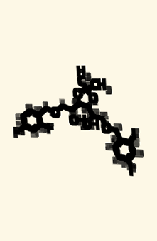 CC1(C)O[C@H]([C@H](O)COCc2ccc(F)cc2F)[C@@H]([C@H](O)COCc2ccc(F)cc2F)O1